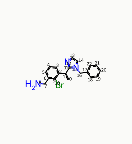 C=C(c1cccc(CN)c1Br)c1nccn1Cc1ccccc1